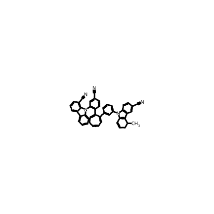 CC1CC=Cc2c1c1cc(C#N)ccc1n2-c1cccc(C2=CC=CCC=C2c2ccc(C#N)cc2-n2c3ccccc3c3cccc(C#N)c32)c1